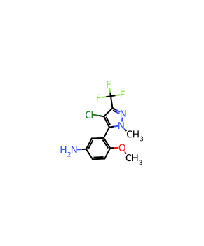 COc1ccc(N)cc1-c1c(Cl)c(C(F)(F)F)nn1C